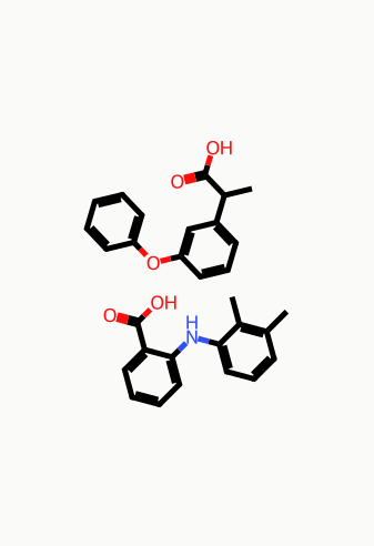 CC(C(=O)O)c1cccc(Oc2ccccc2)c1.Cc1cccc(Nc2ccccc2C(=O)O)c1C